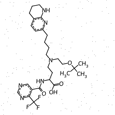 CC(C)(C)OCCN(CCCCc1ccc2c(n1)NCCC2)CCC(NC(=O)c1cncnc1C(F)(F)F)C(=O)O